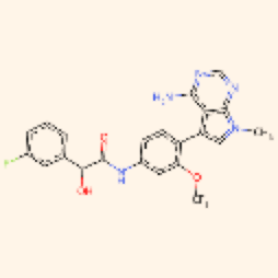 Cn1cc(-c2ccc(NC(=O)C(O)c3cccc(F)c3)cc2OC(F)(F)F)c2c(N)ncnc21